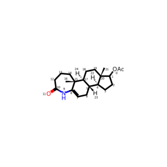 CC(=O)OC1CC[C@H]2[C@@H]3CC=C4NC(=O)CCC[C@]4(C)[C@H]3CC[C@]12C